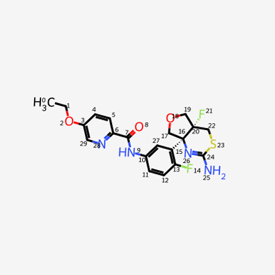 CCOc1ccc(C(=O)Nc2ccc(F)c([C@]34COC[C@@]3(F)CSC(N)=N4)c2)nc1